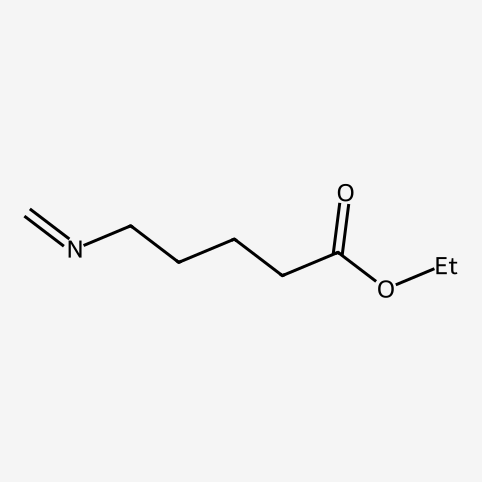 C=NCCCCC(=O)OCC